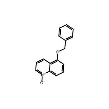 [O-][n+]1cccc2c(OCc3ccccc3)cccc21